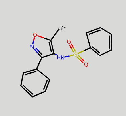 CC(C)c1onc(-c2ccccc2)c1NS(=O)(=O)c1ccccc1